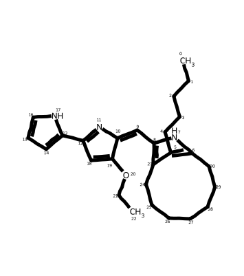 CCCCCc1c2[nH]c(/C=C3/N=C(c4ccc[nH]4)C=C3OCC)c1CCCCCCC2